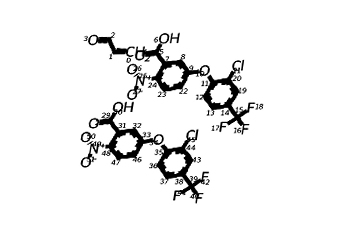 C=CC=O.O=C(O)c1cc(Oc2ccc(C(F)(F)F)cc2Cl)ccc1[N+](=O)[O-].O=C(O)c1cc(Oc2ccc(C(F)(F)F)cc2Cl)ccc1[N+](=O)[O-]